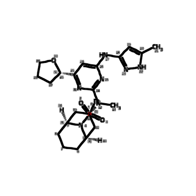 CCS(=O)(=O)N1[C@@H]2CCC[C@H]1C[C@H](N(C)c1nc(Nc3cc(C)[nH]n3)cc([C@@H]3CCCO3)n1)C2